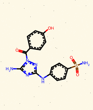 Nc1nc(Nc2ccc(S(N)(=O)=O)cc2)nn1C(=O)c1ccc(O)cc1